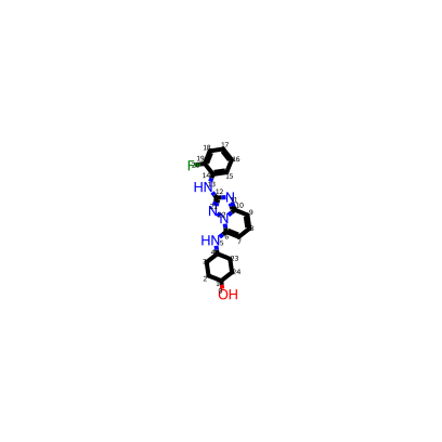 OC1CCC(Nc2cccc3nc(Nc4ccccc4F)nn23)CC1